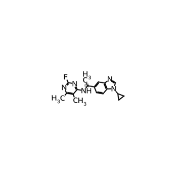 Cc1nc(F)nc(N[C@@H](C)c2ccc3c(c2)ncn3C2CC2)c1C